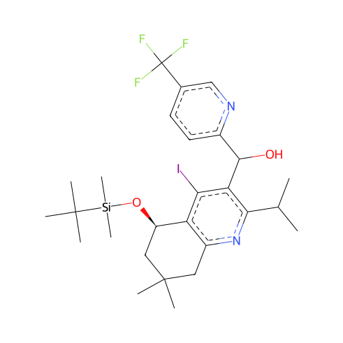 CC(C)c1nc2c(c(I)c1C(O)c1ccc(C(F)(F)F)cn1)[C@H](O[Si](C)(C)C(C)(C)C)CC(C)(C)C2